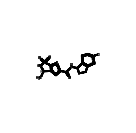 C[C@H]1NS(=O)(=O)c2sc(C(=O)NC3CCc4cc(Cl)ccc43)cc21